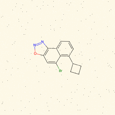 Brc1cc2onnc2c2cccc(C3CCC3)c12